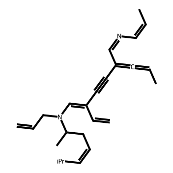 C=CCN(/C=C(/C#CC(=C=CC)/C=N\C=C/C)C=C)C(C)C/C=C\C(C)C